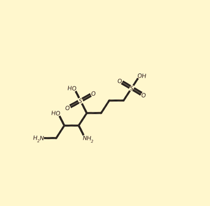 NCC(O)C(N)C(CCCS(=O)(=O)O)S(=O)(=O)O